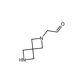 O=CCN1CC2(CNC2)C1